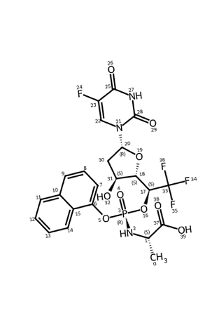 C[C@H](N[P@](=O)(Oc1cccc2ccccc12)O[C@@H]([C@H]1O[C@@H](n2cc(F)c(=O)[nH]c2=O)C[C@@H]1O)C(F)(F)F)C(=O)O